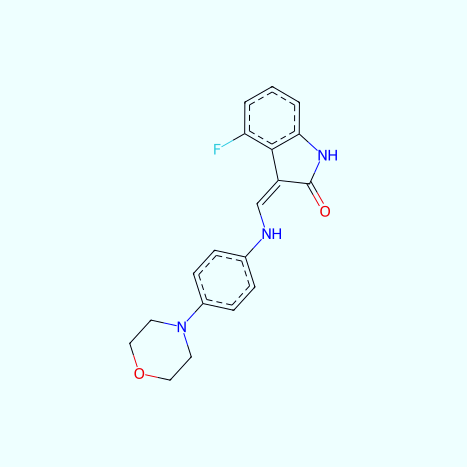 O=C1Nc2cccc(F)c2C1=CNc1ccc(N2CCOCC2)cc1